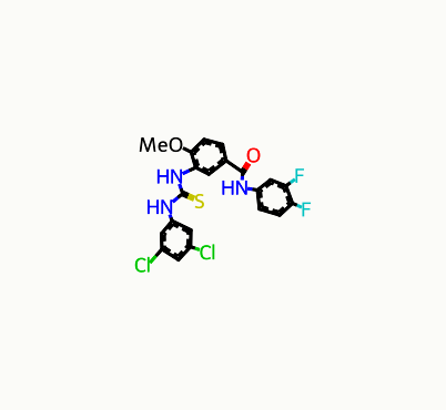 COc1ccc(C(=O)Nc2ccc(F)c(F)c2)cc1NC(=S)Nc1cc(Cl)cc(Cl)c1